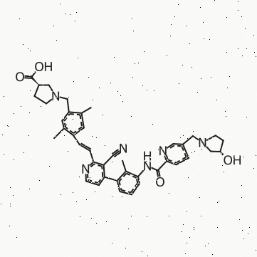 Cc1cc(CN2CC[C@@H](C(=O)O)C2)c(C)cc1/C=C/c1nccc(-c2cccc(NC(=O)c3ccc(CN4CC[C@@H](O)C4)cn3)c2C)c1C#N